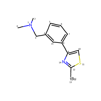 CN(C)Cc1cccc(-c2csc(C(C)(C)C)n2)c1